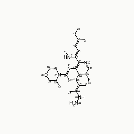 CC/C(C)=C/C=C(\NC)c1ncc(F)c2c(/C(C)=C(\C)NN)cc(N3CCOCC3C)nc12